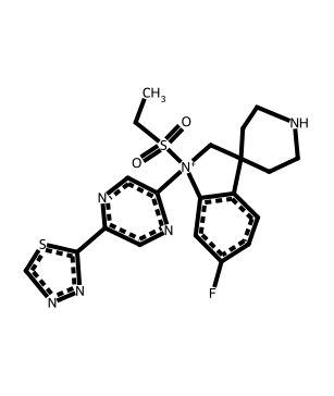 CCS(=O)(=O)[N+]1(c2cnc(-c3nncs3)cn2)CC2(CCNCC2)c2ccc(F)cc21